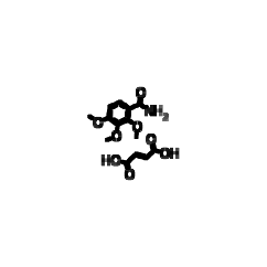 COc1ccc(C(N)=O)c(OC)c1OC.O=C(O)/C=C/C(=O)O